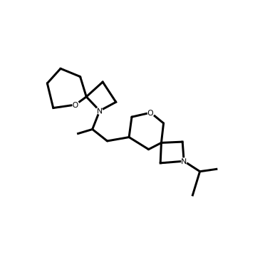 CC(C)N1CC2(COCC(CC(C)N3CCC34CCCCO4)C2)C1